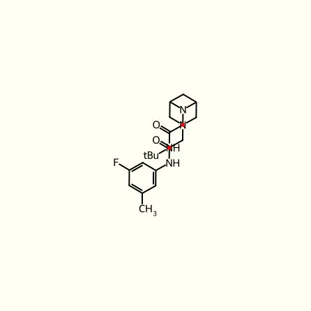 Cc1cc(F)cc(NC(=O)CN2CC3CC(C2)N3CC(=O)NC(C)(C)C)c1